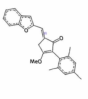 COC1=C(c2c(C)cc(C)cc2C)C(=O)/C(=C/c2cc3ccccc3o2)C1